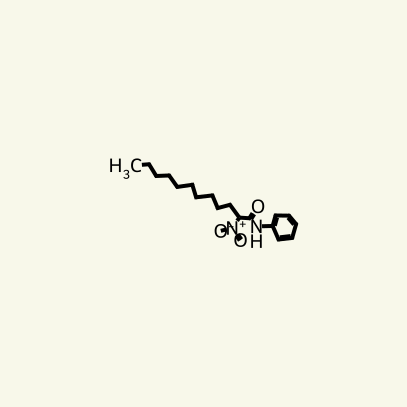 CCCCCCCCCCC(C(=O)Nc1ccccc1)[N+](=O)[O-]